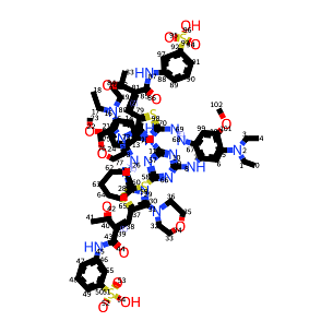 CCN(CC)c1cc(Nc2nc(Nc3cc(N(CC)CC)c(OC)cc3/N=N/c3nc(N4CCOCC4)c(/C=C(\C(C)=O)C(=O)Nc4cccc(S(=O)(=O)O)c4)s3)nc(SC3CCCCC3)n2)c(/N=N/c2nc(N3CCOCC3)c(/C=C(/C(C)=O)C(=O)Nc3cccc(S(=O)(=O)O)c3)s2)cc1OC